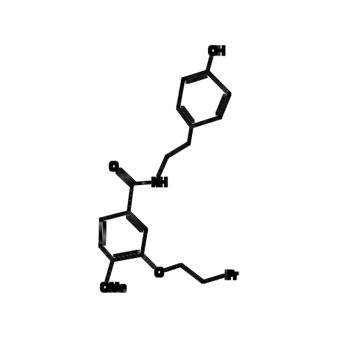 COc1ccc(C(=O)NCCc2ccc(O)cc2)cc1OCCC(C)C